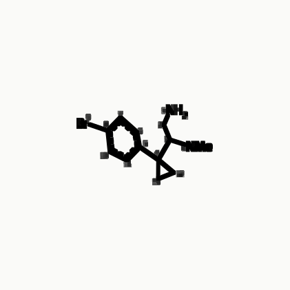 CNC(CN)C1(c2ccc(Br)cc2)CC1